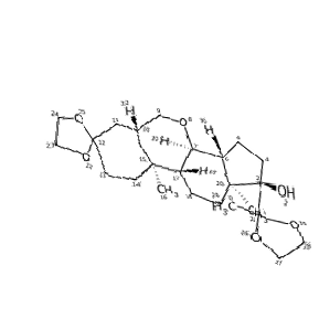 CC1([C@@]2(O)CC[C@H]3[C@@H]4OC[C@H]5CC6(CC[C@]5(C)[C@H]4CC[C@@]32C)OCCO6)OCCO1